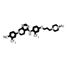 CC(=O)N1CCN(CCCOc2ccc(Nc3ncnc4c3CCN(c3ccc(C#N)c(C(F)(F)F)c3)C4)c(C(F)(F)F)c2)CC1